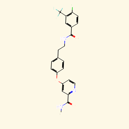 CNC(=O)c1cc(Oc2ccc(CCNC(=O)c3ccc(Cl)c(C(F)(F)F)c3)cc2)ccn1